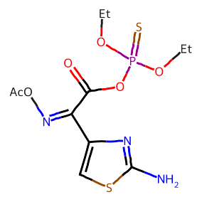 CCOP(=S)(OCC)OC(=O)C(=NOC(C)=O)c1csc(N)n1